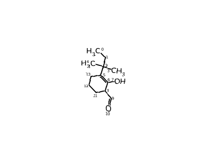 CCC(C)(C)C1=C(O)C(C=O)CCC1